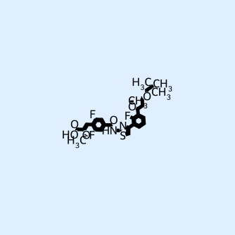 CO/C(=C\c1c(F)cc(C(=O)Nc2nc(-c3cccc(C(CCOCC(C)(C)C)OC)c3F)cs2)cc1F)C(=O)O